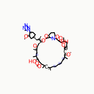 COC1C(=O)C(C)C[C@H](C)/C=C/C=C/C=C(\C)[C@@H](OC)C[C@@H]2CCC(C)C(O)(O2)C(=O)C(=O)N2CCCCC2C(=O)O[C@H]([C@H](C)C[C@@H]2CC[C@H](n3cnnn3)[C@H](OC)C2)CC(=O)[C@H](C)/C=C(\C)[C@H]1O